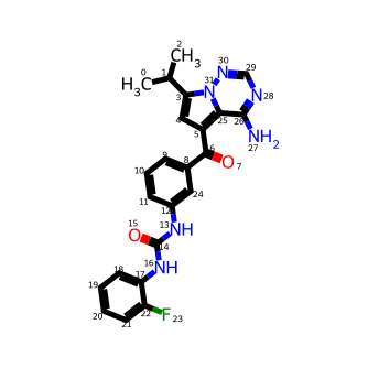 CC(C)c1cc(C(=O)c2cccc(NC(=O)Nc3ccccc3F)c2)c2c(N)ncnn12